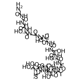 CSCC[C@H](NC(=O)[C@@H]1CCCN1C(=O)[C@@H](NC(=O)[C@@H](NC(=O)[C@H](C)NC(=O)[C@H](CO)NC(=O)[C@H](CO)NC(=O)CNC(=O)[C@@H]1CCCN1C(=O)CNC(=O)CNC(=O)[C@H](CO)NC(=O)CNC(=O)CNC(=O)CN)C(C)C)[C@@H](C)O)C(=O)N[C@@H](CO)C(=O)O